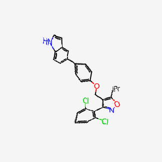 CC(C)c1onc(-c2c(Cl)cccc2Cl)c1COc1ccc(-c2ccc3[nH]ccc3c2)cc1